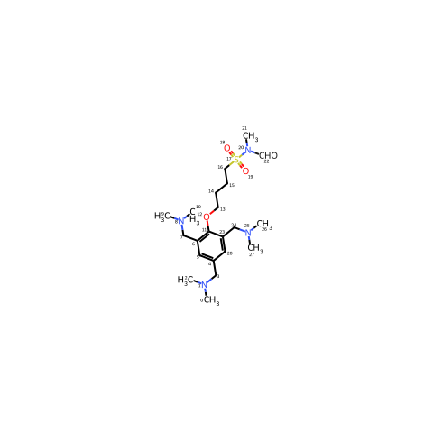 CN(C)Cc1cc(CN(C)C)c(OCCCCS(=O)(=O)N(C)C=O)c(CN(C)C)c1